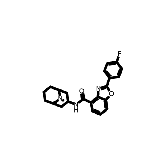 CN1C2CCCC1CC(NC(=O)c1cccc3oc(-c4ccc(F)cc4)nc13)C2